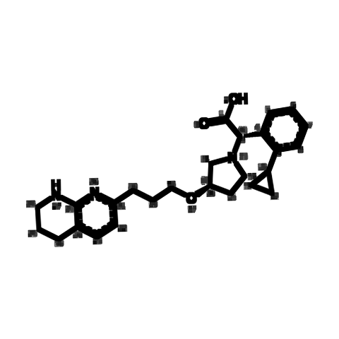 O=C(O)[C@H](c1ccccc1C1CC1)N1CC[C@@H](OCCCc2ccc3c(n2)NCCC3)C1